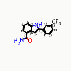 NC(=O)c1cccc2[nH]c(-c3cccc(C(F)(F)F)c3)cc12